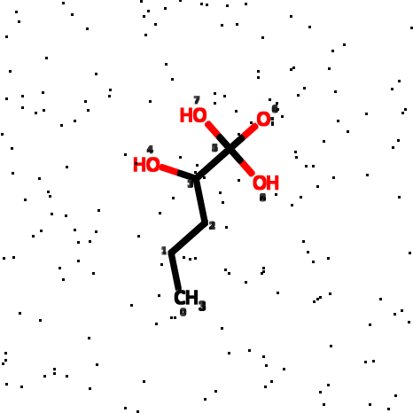 CCCC(O)C([O])(O)O